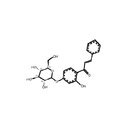 O=C(C=Cc1ccccc1)c1ccc(OC2O[C@H](CO)[C@@H](O)[C@H](O)[C@H]2O)cc1O